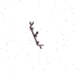 CCCCC(C/C=C\COC(=O)CCCCCCCCCP(CCCCCCCCCC(=O)OC/C=C\CC(CCCC)CCCC)C(=O)CCCN(C)C)CCCC